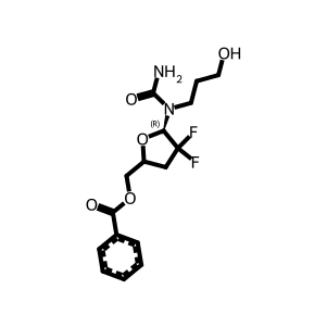 NC(=O)N(CCCO)[C@@H]1OC(COC(=O)c2ccccc2)CC1(F)F